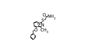 Cc1nc(SCC(N)=O)n2cccc(OCc3ccccc3)c12